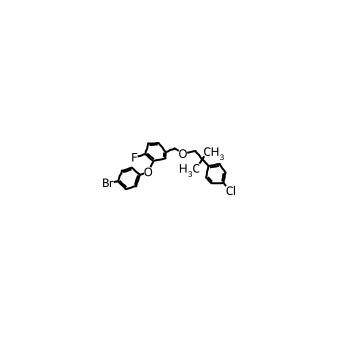 CC(C)(COCc1ccc(F)c(Oc2ccc(Br)cc2)c1)c1ccc(Cl)cc1